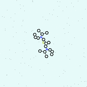 c1ccc(-c2cc(-c3ccccc3)cc(N(c3ccc4c(c3)sc3c5ccc(N(c6cc(-c7ccccc7)cc(-c7ccccc7)c6)c6ccc7ccc8ccccc8c7c6)cc5c5ccccc5c43)c3ccc4ccc5ccccc5c4c3)c2)cc1